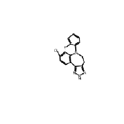 Fc1ccccc1N1CCc2n[nH]nc2-c2ccc(Cl)cc21